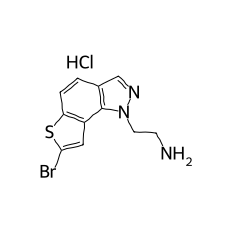 Cl.NCCn1ncc2ccc3sc(Br)cc3c21